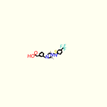 C[C@@H]1CN(Cc2cccc(CC(=O)O)c2)C[C@H](C)N1c1nc2ccc(C(F)(F)F)cc2s1